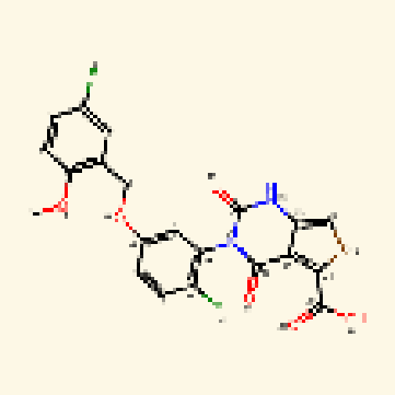 COc1ccc(F)cc1COc1ccc(F)c(-n2c(=O)[nH]c3csc(C(=O)O)c3c2=O)c1